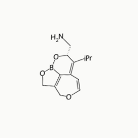 CC(C)C1=C2C=COCC3=C2B(OC3)O[C@@H]1CN